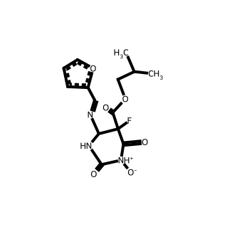 CC(C)COC(=O)C1(F)C(=O)[NH+]([O-])C(=O)NC1N=Cc1ccco1